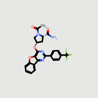 CC(=O)N1C[C@H](Oc2nc(-c3ccc(C(F)(F)F)cc3)nc3c2oc2ccccc23)C[C@H]1C(N)=O